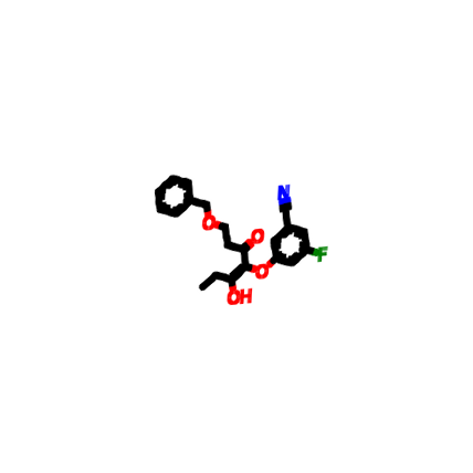 CCC(O)=C(Oc1cc(F)cc(C#N)c1)C(=O)CCOCc1ccccc1